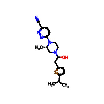 CC(C)c1ccc(CC(O)N2CCN(c3ccc(C#N)nn3)[C@@H](C)C2)s1